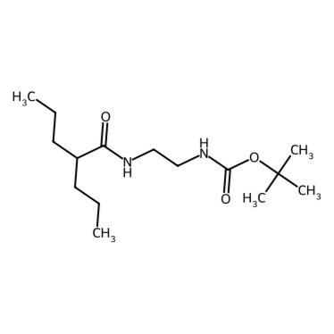 CCCC(CCC)C(=O)NCCNC(=O)OC(C)(C)C